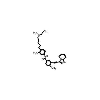 CCCN(C)CCCCCc1ccc(NC(=O)c2ccc(C)c(C#CC3=CNC4C=CC=CN34)c2)cc1C